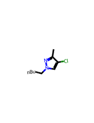 CCCCCn1cc(Cl)c(C)n1